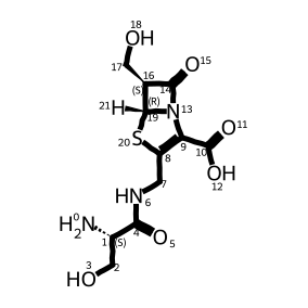 N[C@@H](CO)C(=O)NCC1=C(C(=O)O)N2C(=O)[C@H](CO)[C@H]2S1